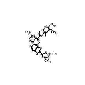 CCc1cc(NC(=O)C(=O)C2C[C@@H](C)CC[C@H]2c2ccc3sc([C@@H]4C[C@@H](C)CN(C)C4)nc3c2)cnc1N